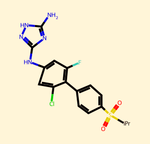 CC(C)S(=O)(=O)c1ccc(-c2c(F)cc(Nc3n[nH]c(N)n3)cc2Cl)cc1